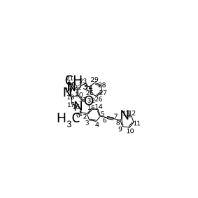 C[C@@H](c1ccc(C#Cc2ccccn2)cc1)N1Cc2nn(C)c(Cc3ccccc3)c2C1=O